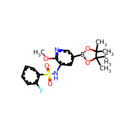 COc1ncc(B2OC(C)(C)C(C)(C)O2)cc1NS(=O)(=O)c1ccccc1F